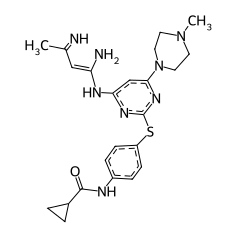 CC(=N)/C=C(\N)Nc1cc(N2CCN(C)CC2)nc(Sc2ccc(NC(=O)C3CC3)cc2)n1